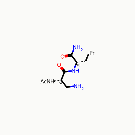 CC(=O)N[C@@H](CN)C(=O)N[C@@H](CC(C)C)C(N)=O